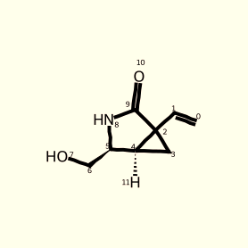 C=CC12C[C@H]1[C@@H](CO)NC2=O